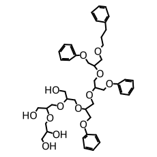 OCC(O)COC(CO)COC(CO)COC(COc1ccccc1)COC(COc1ccccc1)COC(COCCCc1ccccc1)COc1ccccc1